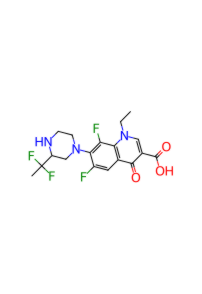 CCn1cc(C(=O)O)c(=O)c2cc(F)c(N3CCNC(C(C)(F)F)C3)c(F)c21